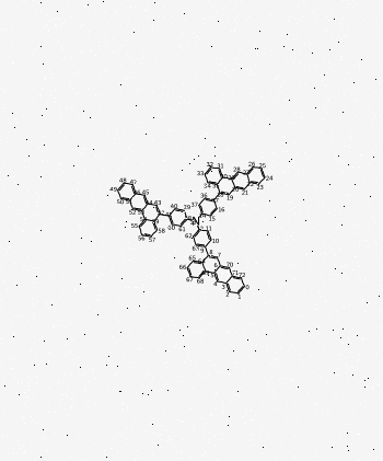 c1ccc2cc3c(cc(-c4ccc(N(c5ccc(-c6cc7cc8ccccc8cc7c7ccccc67)cc5)c5ccc(-c6cc7cc8ccccc8cc7c7ccccc67)cc5)cc4)c4ccccc43)cc2c1